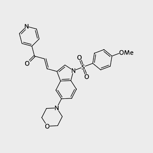 COc1ccc(S(=O)(=O)n2cc(/C=C/C(=O)c3ccncc3)c3cc(N4CCOCC4)ccc32)cc1